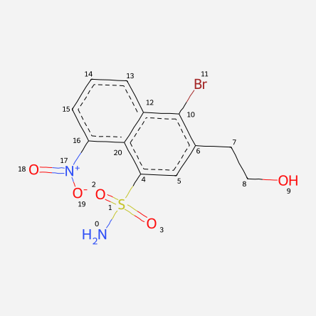 NS(=O)(=O)c1cc(CCO)c(Br)c2cccc([N+](=O)[O-])c12